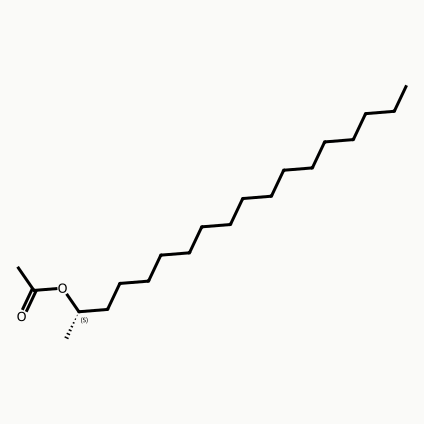 CCCCCCCCCCCCCCCC[C@H](C)OC(C)=O